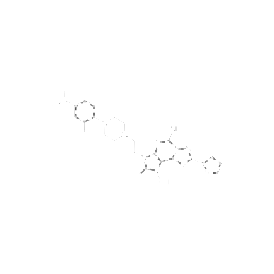 Cn1c(=O)n(CCN2CCN(c3ccc([S+](C)[O-])cc3F)CC2)c2nc(N)n3nc(-c4ccco4)nc3c21